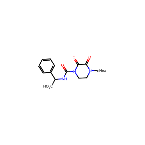 CCCCCCN1CCN(C(=O)NC(C(=O)O)c2ccccc2)C(=O)C1=O